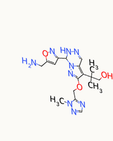 Cn1ncnc1COc1nn2c(c1C(C)(C)CO)C=NNC2c1cc(CN)on1